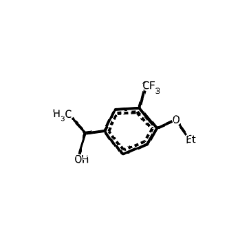 CCOc1ccc(C(C)O)cc1C(F)(F)F